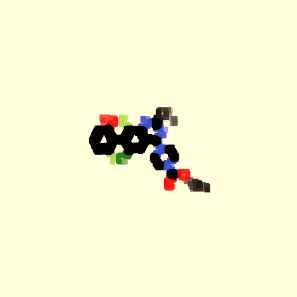 CC(C)(C)OC(=O)N1CCN(c2nc(C(F)(F)F)nc3c(F)c(-c4c(O)cccc4F)c(Cl)cc23)CC1